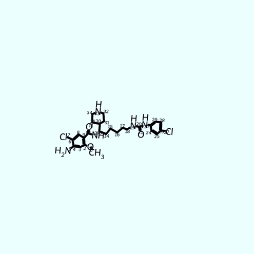 COc1cc(N)c(Cl)cc1C(=O)NC(CCCCCNC(=O)Nc1ccc(Cl)cc1)C1CCNCC1